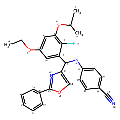 CCOc1cc(OC(C)C)c(F)c(C(Nc2ccc(C#N)cc2)c2coc(-c3ccccc3)n2)c1